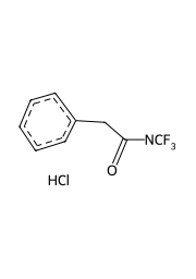 Cl.O=C(Cc1ccccc1)NC(F)(F)F